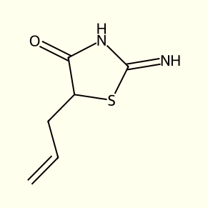 C=CCC1SC(=N)NC1=O